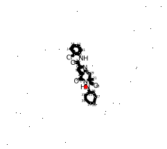 CN1C(=O)c2cc(C(=O)Nc3ccccc3Cl)nn2CC1(C)C(=O)NC1CCCCCC1